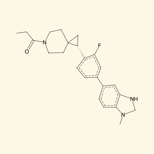 CCC(=O)N1CCC2(CC1)C[C@@H]2c1ccc(-c2ccc3c(c2)NCN3C)cc1F